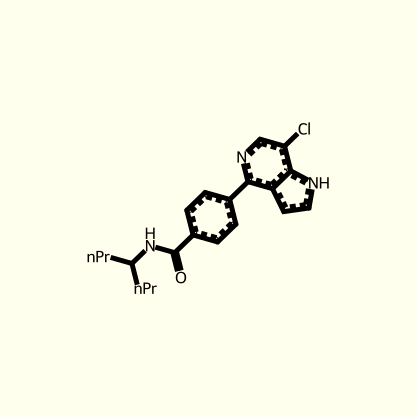 CCCC(CCC)NC(=O)c1ccc(-c2ncc(Cl)c3[nH]ccc23)cc1